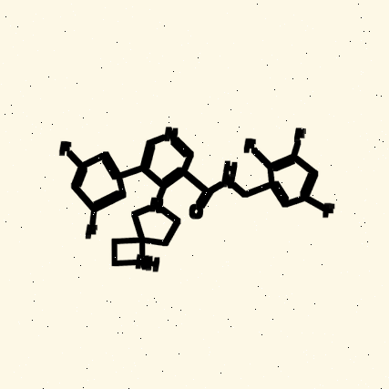 O=C(NCc1cc(F)cc(F)c1F)c1cncc(-c2cc(F)cc(F)c2)c1N1CCC2(CCN2)C1